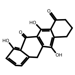 O=C1CCCc2c(O)c3c(c(O)c21)C(=O)c1c(O)cccc1C3